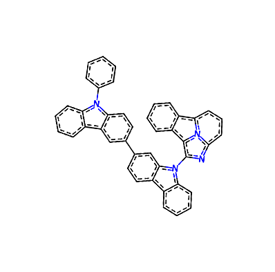 c1ccc(-n2c3ccccc3c3cc(-c4ccc5c6ccccc6n(-c6nc7cccc8c9ccccc9c6n78)c5c4)ccc32)cc1